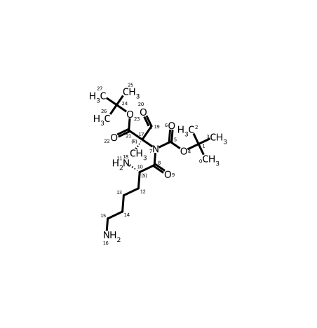 CC(C)(C)OC(=O)N(C(=O)[C@@H](N)CCCCN)[C@](C)([C]=O)C(=O)OC(C)(C)C